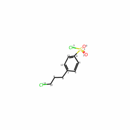 O=S(=O)(Cl)c1ccc(CCCCl)cc1